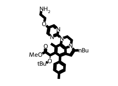 CCCCc1cc2c(-c3ccc(C)cc3)c([C@H](OC(C)(C)C)C(=O)OC)c(C)c3c2n1CCN3c1ncc(OCCN)cn1